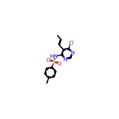 C/C=C/c1c(Cl)ncnc1NS(=O)(=O)c1ccc(C)cc1